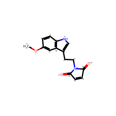 COc1ccc2[nH]cc(CCN3C(=O)C=CC3=O)c2c1